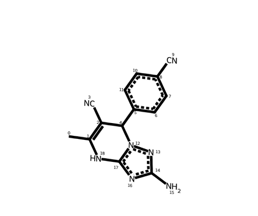 CC1=C(C#N)C(c2ccc(C#N)cc2)n2nc(N)nc2N1